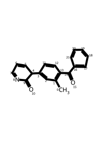 Cc1cc(C2C=CC=NC2=O)ccc1C(=O)c1ccccc1